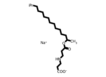 CC(C)CCCCCCCCCCCC(C)OC(=O)CCNCCC(=O)[O-].[Na+]